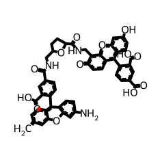 C=c1ccc2c(c1)Oc1cc(N)ccc1C=2c1ccc(C(=O)NCC2CCC(C(=O)NCc3c4oc5cc(O)ccc5c(-c5ccc(C(=O)O)cc5C(=O)O)c-4ccc3=O)O2)cc1C(=O)O